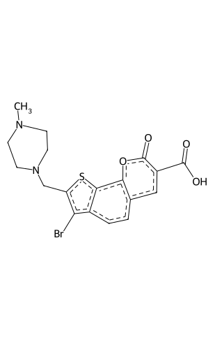 CN1CCN(Cc2sc3c(ccc4cc(C(=O)O)c(=O)oc43)c2Br)CC1